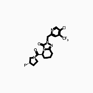 O=C([C@@H]1CCCc2nn(Cc3cc(C(F)(F)F)c(Cl)cn3)c(=O)n21)N1CC[C@H](F)C1